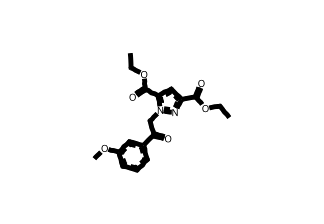 CCOC(=O)c1cc(C(=O)OCC)n(CC(=O)c2cccc(OC)c2)n1